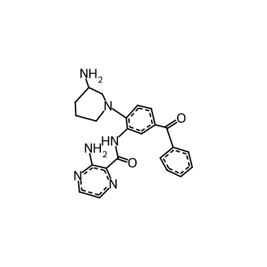 Nc1nccnc1C(=O)Nc1cc(C(=O)c2ccccc2)ccc1N1CCCC(N)C1